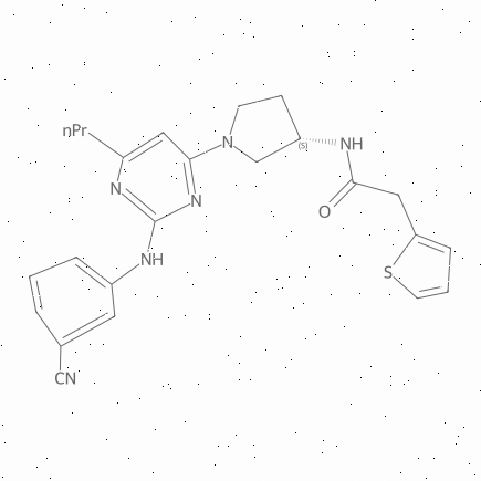 CCCc1cc(N2CC[C@H](NC(=O)Cc3cccs3)C2)nc(Nc2cccc(C#N)c2)n1